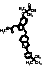 COC(=O)Cc1cn(Cc2ccc3oc(-c4nc(C(C)(C)C)cs4)cc3c2)c2ccc(OC(C)(C)C(=O)O)cc12